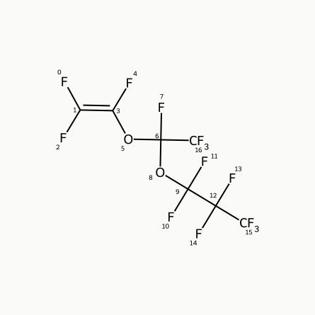 FC(F)=C(F)OC(F)(OC(F)(F)C(F)(F)C(F)(F)F)C(F)(F)F